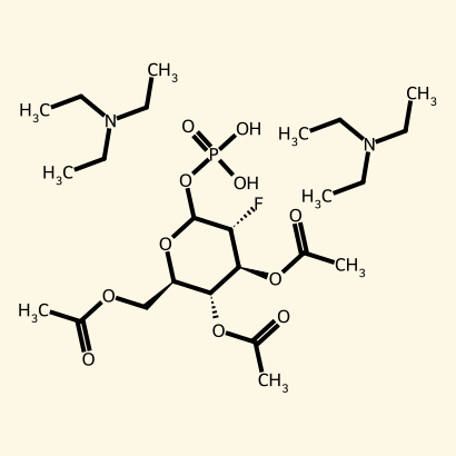 CC(=O)OC[C@H]1OC(OP(=O)(O)O)[C@H](F)[C@@H](OC(C)=O)[C@@H]1OC(C)=O.CCN(CC)CC.CCN(CC)CC